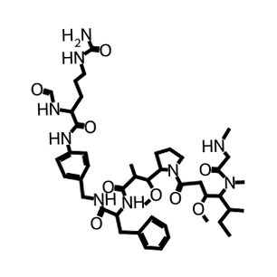 CCC(C)C(C(CC(=O)N1CCCC1C(OC)C(C)C(=O)NC(Cc1ccccc1)C(=O)NCc1ccc(NC(=O)C(CCCNC(N)=O)NC=O)cc1)OC)N(C)C(=O)CNC